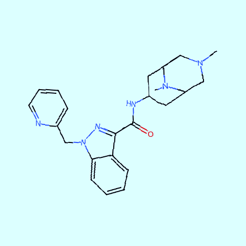 CN1CC2CC(NC(=O)c3nn(Cc4ccccn4)c4ccccc34)CC(C1)N2C